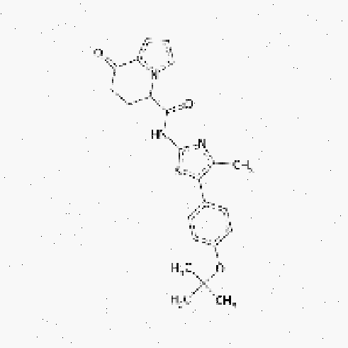 Cc1nc(NC(=O)C2CCC(=O)c3cccn32)sc1-c1ccc(OC(C)(C)C)cc1